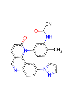 Cc1ccc(-n2c(=O)ccc3cnc4ccc(-n5cccn5)cc4c32)cc1NC(=O)C#N